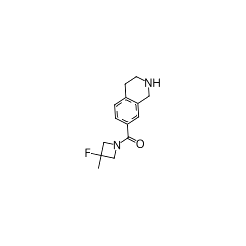 CC1(F)CN(C(=O)c2ccc3c(c2)CNCC3)C1